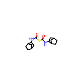 O=C(NC1CC2CCC1C2)SC(=O)NC1CC2CCC1C2